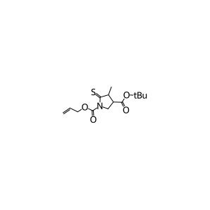 C=CCOC(=O)N1CC(C(=O)OC(C)(C)C)C(C)C1=S